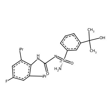 CC(C)c1cc(F)cc(C(C)C)c1NC(=O)N=[S@](N)(=O)c1cccc(C(C)(C)O)c1